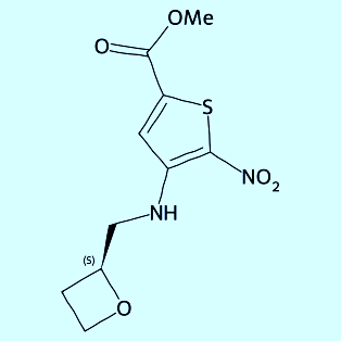 COC(=O)c1cc(NC[C@@H]2CCO2)c([N+](=O)[O-])s1